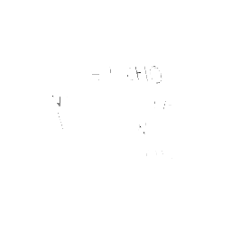 CN(C)c1ccncc1.O=CO